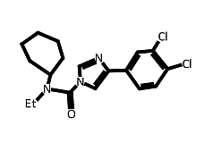 CCN(C(=O)n1cnc(-c2ccc(Cl)c(Cl)c2)c1)C1CCCCC1